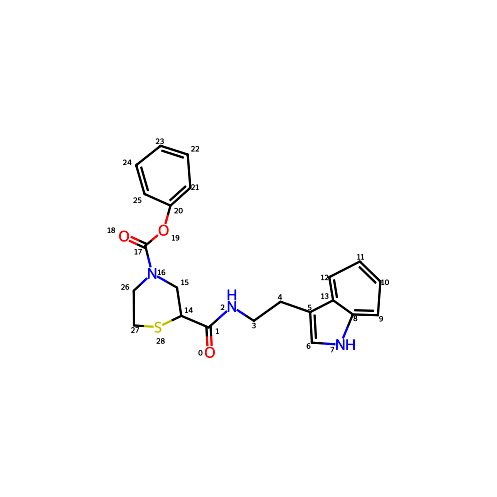 O=C(NCCc1c[nH]c2ccccc12)C1CN(C(=O)Oc2ccccc2)CCS1